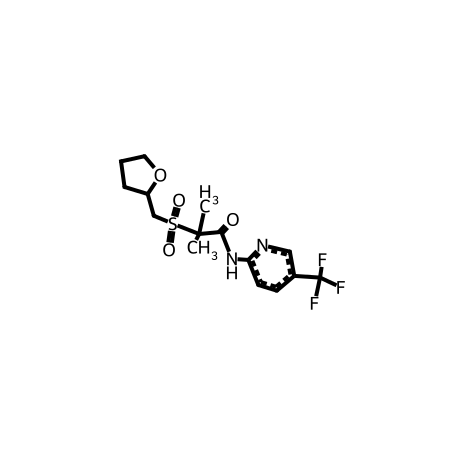 CC(C)(C(=O)Nc1ccc(C(F)(F)F)cn1)S(=O)(=O)CC1CCCO1